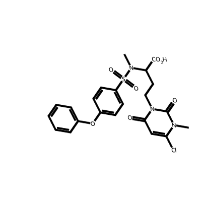 CN(C(CCn1c(=O)cc(Cl)n(C)c1=O)C(=O)O)S(=O)(=O)c1ccc(Oc2ccccc2)cc1